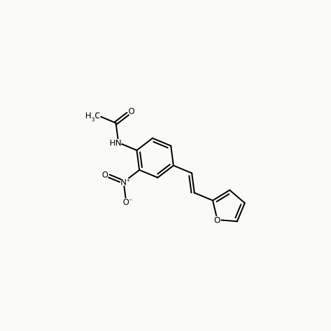 CC(=O)Nc1ccc(C=Cc2ccco2)cc1[N+](=O)[O-]